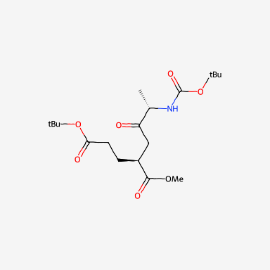 COC(=O)[C@@H](CCC(=O)OC(C)(C)C)CC(=O)[C@H](C)NC(=O)OC(C)(C)C